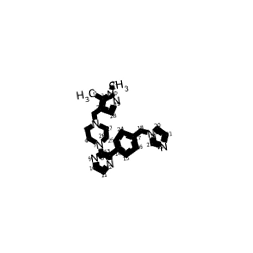 Cc1c(CN2CCN(c3nccnc3-c3ccc(Cn4ccnc4)cc3)CC2)cnn1C